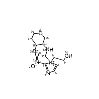 O=[N+]([O-])C1=NC=C[N+]1(CCO)CNC1COCCC1Br